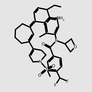 CCC(/C=C\C(=C1\C=C(C2=CCN(S(C)(=O)=O)CC2)CCCC1)c1cccc(N(C(=O)c2ccc(C(F)F)cc2)C2COC2)c1C)C(N)=O